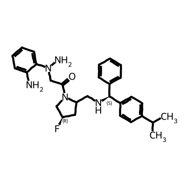 CC(C)c1ccc([C@@H](NCC2C[C@@H](F)CN2C(=O)CN(N)c2ccccc2N)c2ccccc2)cc1